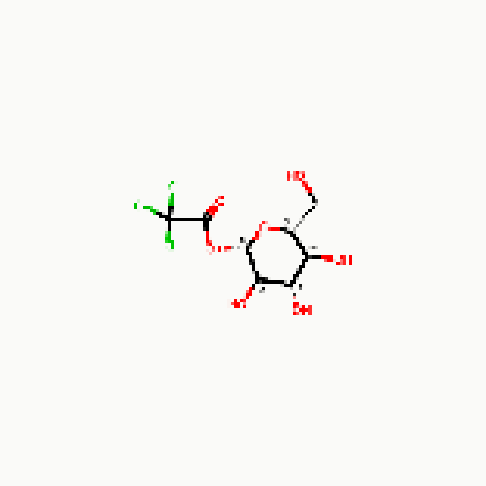 O=C(O[C@@H]1O[C@H](CO)[C@@H](O)[C@H](O)[C@H]1O)C(Cl)(Cl)Cl